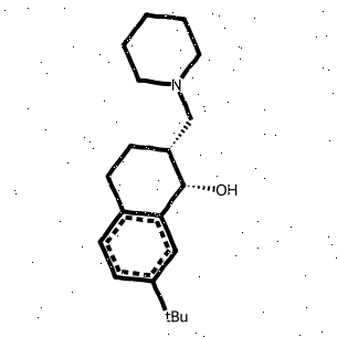 CC(C)(C)c1ccc2c(c1)[C@@H](O)[C@@H](CN1CCCCC1)CC2